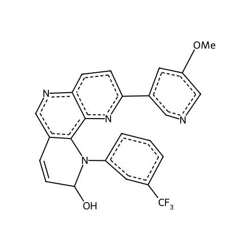 COc1cncc(-c2ccc3ncc4c(c3n2)N(c2cccc(C(F)(F)F)c2)C(O)C=C4)c1